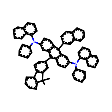 CC1(C)c2ccccc2-c2ccc(-c3c4ccc(N(c5ccccc5)c5cccc6ccccc56)cc4c(-c4ccc5ccccc5c4)c4ccc(N(c5ccccc5)c5cccc6ccccc56)cc34)cc21